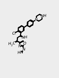 C=C(CC(=N)c1cc(-c2ccc(N3CCNCC3)cc2)ccc1Cl)c1coc(N=N)n1